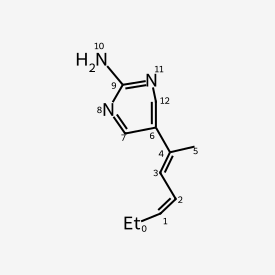 CC/C=C\C=C(/C)c1cnc(N)nc1